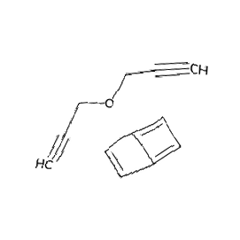 C#CCOCC#C.c1cc2ccc1-2